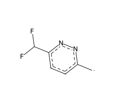 [CH2]c1ccc(C(F)F)nn1